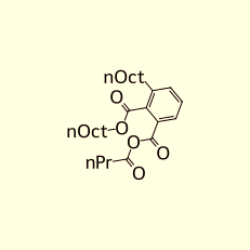 CCCCCCCCOC(=O)c1c(CCCCCCCC)cccc1C(=O)OC(=O)CCC